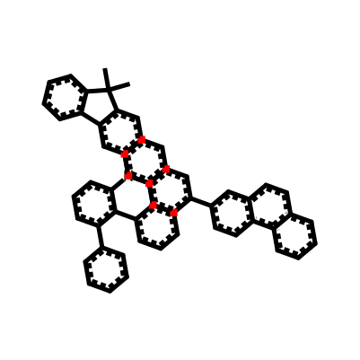 CC1(C)c2ccccc2-c2cc(N(c3ccc(-c4ccc5c(ccc6ccccc65)c4)cc3)c3cccc(-c4ccccc4)c3-c3ccccc3-c3ccccc3)ccc21